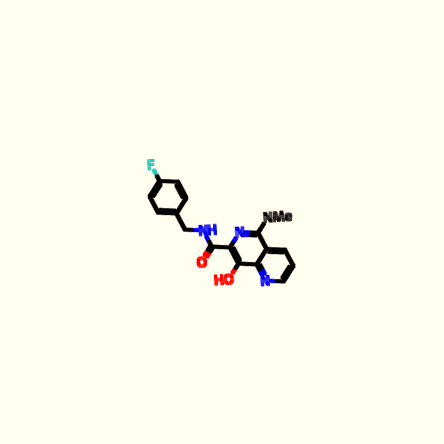 CNc1nc(C(=O)NCc2ccc(F)cc2)c(O)c2ncccc12